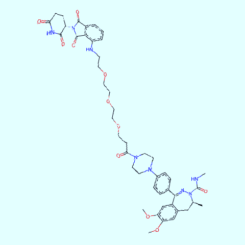 CNC(=O)N1N=C(c2ccc(N3CCN(C(=O)CCOCCOCCOCCNc4cccc5c4C(=O)N([C@H]4CCC(=O)NC4=O)C5=O)CC3)cc2)c2cc(OC)c(OC)cc2C[C@@H]1C